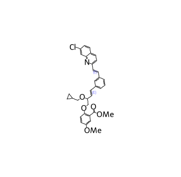 COC(=O)c1cc(OC)ccc1OCC(/C=C/c1cccc(/C=C/c2ccc3ccc(Cl)cc3n2)c1)OCC1CC1